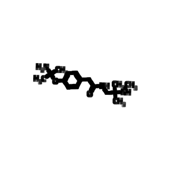 CNC(C)(C)CNC(=O)Cc1ccc(OC(C)(C)N)cc1